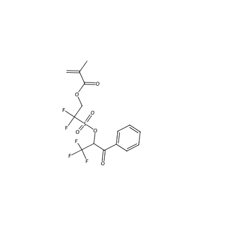 C=C(C)C(=O)OCC(F)(F)S(=O)(=O)OC(C(=O)c1ccccc1)C(F)(F)F